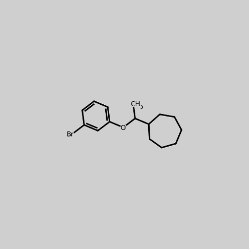 CC(Oc1cccc(Br)c1)C1CCCCCC1